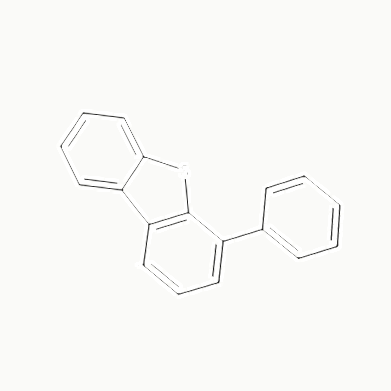 [c]1ccc(-c2ccccc2)c2sc3ccccc3c12